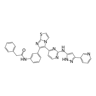 O=C(Cc1ccccc1)Nc1cccc(-c2nc3sccn3c2-c2ccnc(Nc3cc(-c4cccnc4)n[nH]3)n2)c1